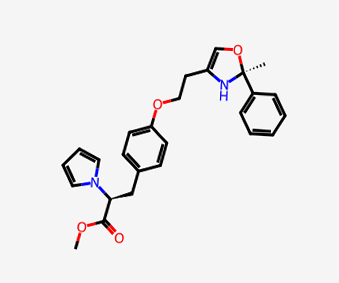 COC(=O)[C@H](Cc1ccc(OCCC2=CO[C@@](C)(c3ccccc3)N2)cc1)n1cccc1